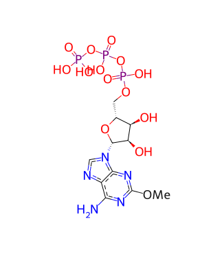 COc1nc(N)c2ncn([C@@H]3O[C@H](COP(=O)(O)OP(=O)(O)OP(=O)(O)O)[C@@H](O)[C@H]3O)c2n1